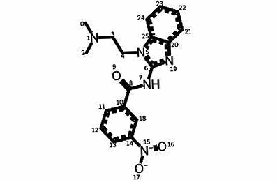 CN(C)CCn1c(NC(=O)c2cccc([N+](=O)[O-])c2)nc2ccccc21